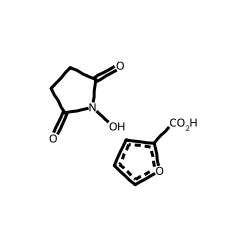 O=C(O)c1ccco1.O=C1CCC(=O)N1O